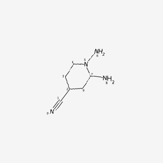 N#CC1CCN(N)C(N)C1